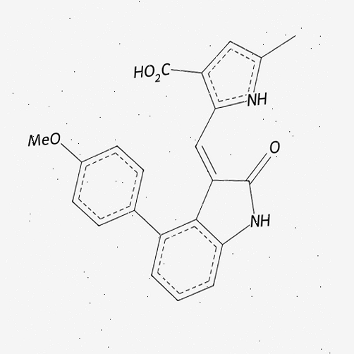 COc1ccc(-c2cccc3c2C(=Cc2[nH]c(C)cc2C(=O)O)C(=O)N3)cc1